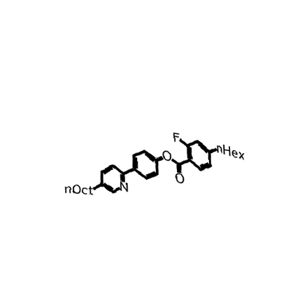 CCCCCCCCc1ccc(-c2ccc(OC(=O)c3ccc(CCCCCC)cc3F)cc2)nc1